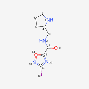 O=C(NCC1CCCN1)c1nc(I)no1